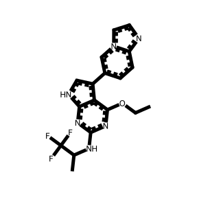 CCOc1nc(NC(C)C(F)(F)F)nc2[nH]cc(-c3ccc4nccn4c3)c12